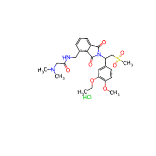 CCOc1cc(C(CS(C)(=O)=O)N2C(=O)c3cccc(CNC(=O)CN(C)C)c3C2=O)ccc1OC.Cl